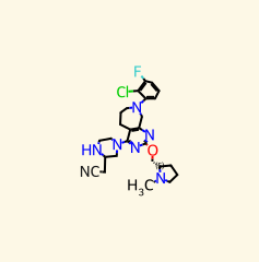 CN1CCC[C@H]1COc1nc2c(c(N3CCNC(CC#N)C3)n1)CCCN(c1cccc(F)c1Cl)C2